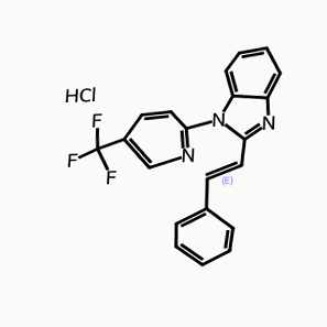 Cl.FC(F)(F)c1ccc(-n2c(/C=C/c3ccccc3)nc3ccccc32)nc1